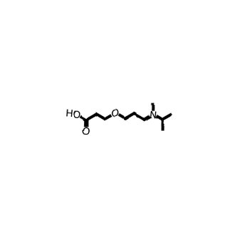 CC(C)N(C)CCCOCCC(=O)O